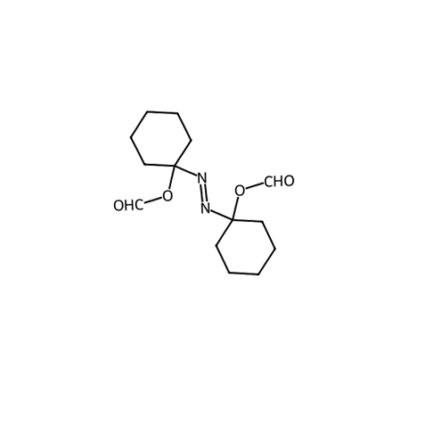 O=COC1(/N=N/C2(OC=O)CCCCC2)CCCCC1